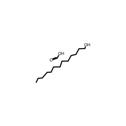 CCCCCCCCCCCCCO.O=CO